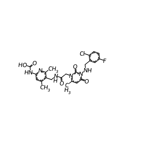 Cc1cc(NC(=O)O)nc(C)c1CNC(=O)Cn1c(C)cc(=O)n(NCc2cc(F)ccc2Cl)c1=O